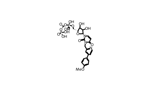 COc1ccc(-c2ccnc(Cn3c(=O)ccn([C@@H]4O[C@H](COP(=O)(O)OP(=O)(O)OP(=O)(O)O)C(O)C4O)c3=O)c2)cc1